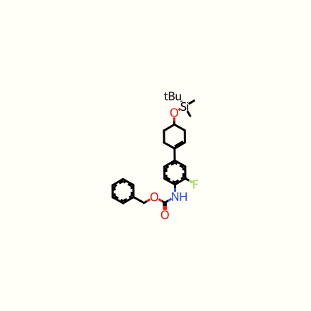 CC(C)(C)[Si](C)(C)OC1CC=C(c2ccc(NC(=O)OCc3ccccc3)c(F)c2)CC1